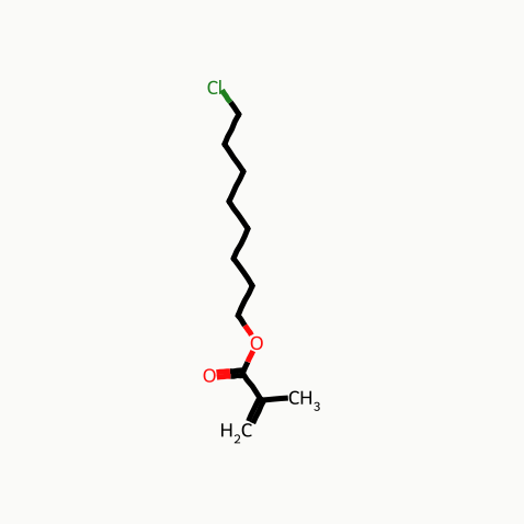 C=C(C)C(=O)OCCCCCCCCCl